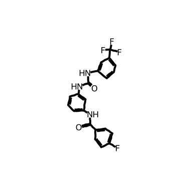 O=C(Nc1cccc(NC(=O)c2ccc(F)cc2)c1)Nc1cccc(C(F)(F)F)c1